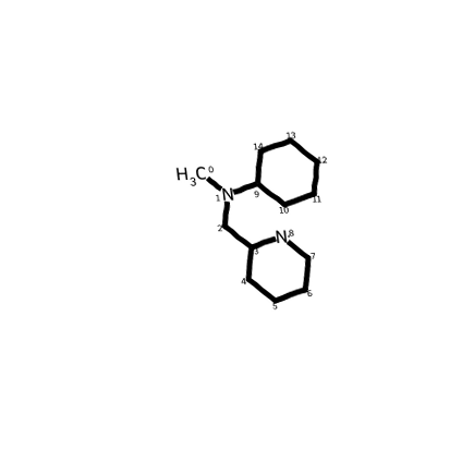 CN(CC1CCCC[N]1)C1CCCCC1